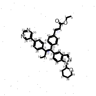 CCOC(=O)/C=C/c1ccc(/C(=C(/CC)c2ccc(-c3cncnc3)cc2)c2ccc3c(cnn3C3CCCCO3)c2)cc1